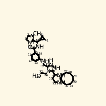 CN1CCNC1[C@@H](NC(=O)c1cccc(NCC2NNC(C3CCNC4(CCCCCCCC4)N3)N2CCO)c1)C1CC1